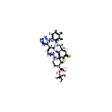 CC(C)(C)OC(=O)C1CCN(c2ncc3c(n2)N(Cc2ccc(F)c(F)c2)c2ccccc2-n2nnnc2-3)CC1